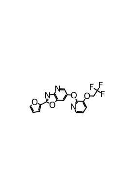 FC(F)(F)COc1cccnc1Oc1cnc2nc(-c3ccco3)oc2c1